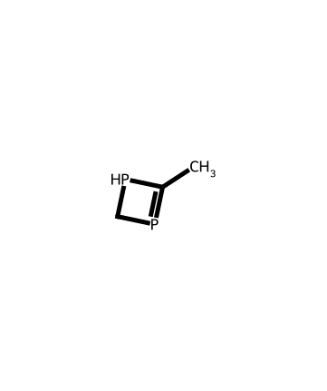 CC1=PCP1